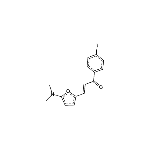 CN(C)c1ccc(C=CC(=O)c2ccc(I)cc2)o1